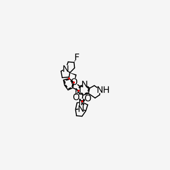 O=C(OCc1ccccc1)N1C2CCC1CN(c1nc(OC[C@@]34CCCN3C[C@H](F)C4)nc3c1CCNC3)C2